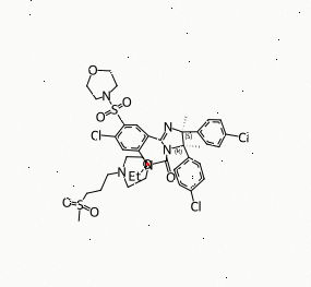 CCOc1cc(Cl)c(S(=O)(=O)N2CCOCC2)cc1C1=N[C@@](C)(c2ccc(Cl)cc2)[C@@](C)(c2ccc(Cl)cc2)N1C(=O)N1CCN(CCCS(C)(=O)=O)CC1